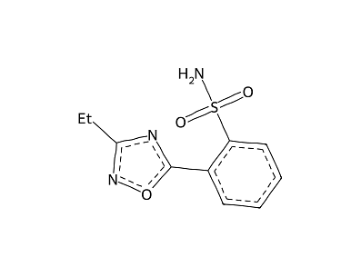 CCc1noc(-c2ccccc2S(N)(=O)=O)n1